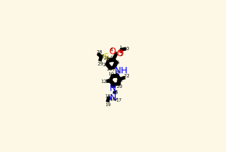 CCOC(=O)c1cc(Nc2cc(C)c(N=CN(C)CC)cc2C)ccc1SC(C)C